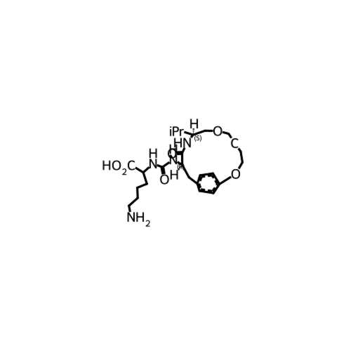 CC(C)[C@H]1COCCCCOc2ccc(cc2)C[C@@H](NC(=O)NC(CCCCN)C(=O)O)C(=O)N1